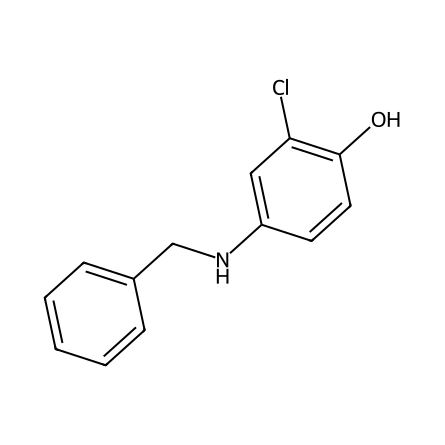 Oc1ccc(NCc2ccccc2)cc1Cl